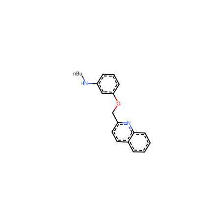 CCCCNc1cccc(OCc2ccc3ccccc3n2)c1